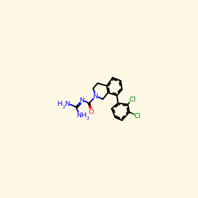 NC(N)=NC(=O)N1CCc2cccc(-c3cccc(Cl)c3Cl)c2C1